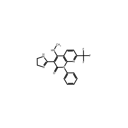 CNc1c(C2=NCCN2)c(=O)n(-c2ccccc2)c2nc(C(F)(F)F)ccc12